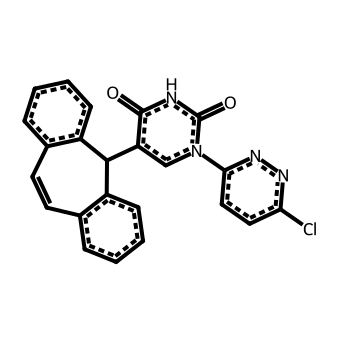 O=c1[nH]c(=O)n(-c2ccc(Cl)nn2)cc1C1c2ccccc2C=Cc2ccccc21